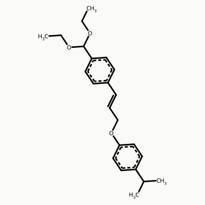 CCOC(OCC)c1ccc(C=CCOc2ccc(C(C)C)cc2)cc1